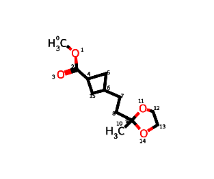 COC(=O)C1CC(CCC2(C)OCCO2)C1